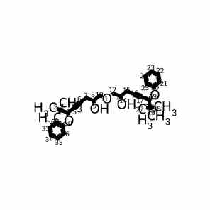 CC(C)(C)C(C#CCC(O)COCC(O)CC#CC(Oc1ccccc1)C(C)(C)C)Oc1ccccc1